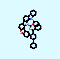 c1ccc(-c2ccc(-c3nc(-n4c5c(ccc6oc7ccccc7c65)c5ccc6c7ccccc7n(-c7ccccc7)c6c54)nc4ccccc34)cc2)cc1